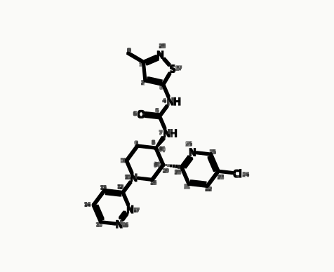 Cc1cc(NC(=O)N[C@@H]2CCN(c3cccnn3)C[C@H]2c2ccc(Cl)cn2)sn1